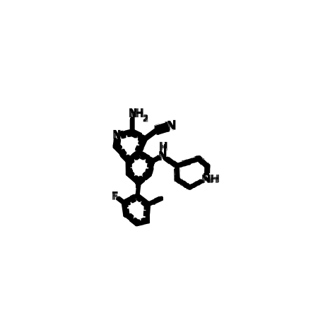 Cc1cccc(F)c1-c1cc(NC2CCNCC2)c2c(C#N)c(N)ncc2c1